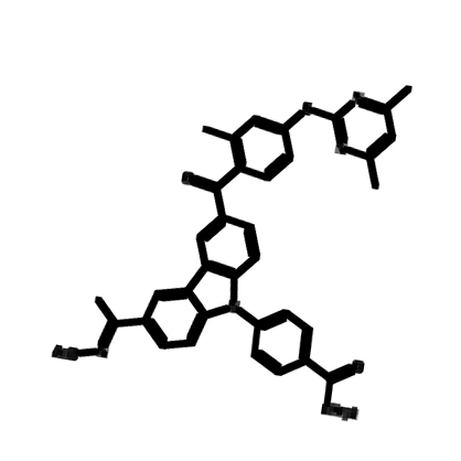 CCCCCCCC(=O)c1ccc(-n2c3ccc(C(=O)c4ccc(Sc5nc(C)cc(C)n5)cc4C)cc3c3cc(C(C)=NOC(C)=O)ccc32)cc1